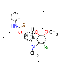 COc1cc(Br)c2c3c1O[C@H]1C[C@@H](OC(=S)Nc4ccccc4)C=C[C@@]31CCN(C)C2